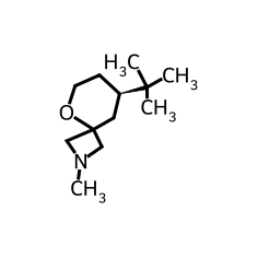 CN1CC2(C[C@H](C(C)(C)C)CCO2)C1